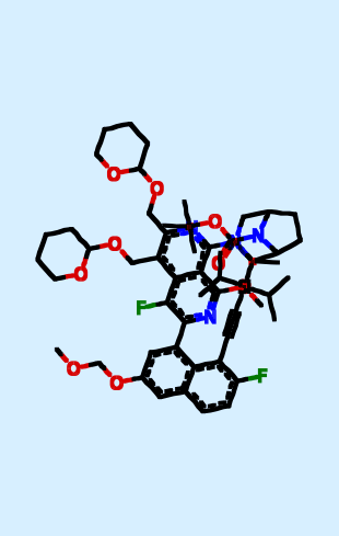 COCOc1cc(-c2nc(OC)c3c(N4CC5CCC(C4)N5C(=O)OC(C)(C)C)nc(COC4CCCCO4)c(COC4CCCCO4)c3c2F)c2c(C#C[Si](C(C)C)(C(C)C)C(C)C)c(F)ccc2c1